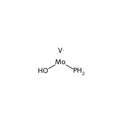 [OH][Mo][PH2].[V]